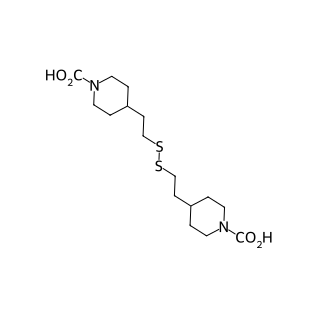 O=C(O)N1CCC(CCSSCCC2CCN(C(=O)O)CC2)CC1